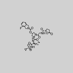 C=C[C@@H]1C[C@]1(NC(=O)[C@@H]1CC(OC(=O)N2Cc3cccc(F)c3C2)CN1C(=O)CNC(=O)[C@@H]1CCC(=O)O1)C(=O)NS(=O)(=O)C1CC1